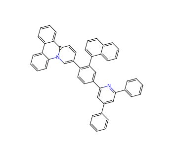 C1=CC(c2ccc(-c3cc(-c4ccccc4)cc(-c4ccccc4)n3)cc2-c2cccc3ccccc23)=CN2B1c1ccccc1-c1ccccc12